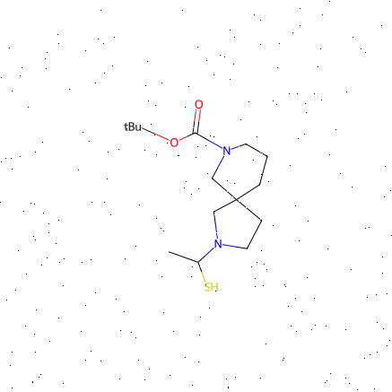 CC(S)N1CCC2(CCCN(C(=O)OC(C)(C)C)C2)C1